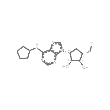 O[C@@H]1[C@@H](CF)C[C@@H](n2cnc3c(NC4CCCC4)ncnc32)[C@@H]1O